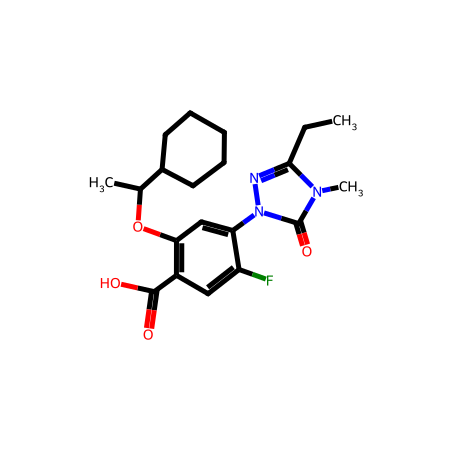 CCc1nn(-c2cc(OC(C)C3CCCCC3)c(C(=O)O)cc2F)c(=O)n1C